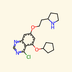 Clc1ncnc2cc(OCCC3CCCN3)cc(OC3CCCC3)c12